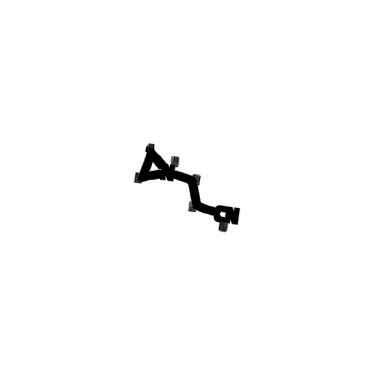 N#CCCN1CC1